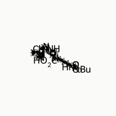 Cn1ncc(-c2nc(N[C@H]3CC[C@H](N(CCCCCCCNC(=O)OC(C)(C)C)C(=O)O)CC3)ncc2Cl)c1CC1CC1